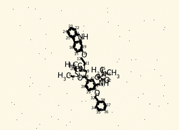 CC[Si](CC)(CC)O[C@@H](CNCCOc1ccc2c(c1)[nH]c1ccccc12)c1ccc(OCc2ccccc2)c(NS(=O)(=O)N(C)C)c1